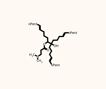 CCCCCC=CCCCC(OC(=O)CCN(C)C)C(O)(CCCC=CCCCCC)CCCC=CCCCCC